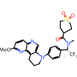 COc1ccc2ncc3c(c2n1)CCCN3c1ccc([C@H](N(C)C(=O)C2CCS(=O)(=O)CC2)C(F)(F)F)cc1